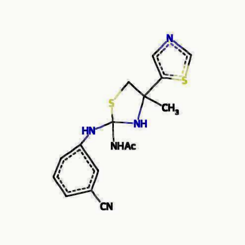 CC(=O)NC1(Nc2cccc(C#N)c2)NC(C)(c2cncs2)CS1